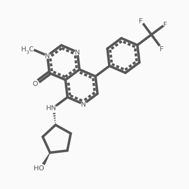 Cn1cnc2c(-c3ccc(C(F)(F)F)cc3)cnc(N[C@@H]3CC[C@@H](O)C3)c2c1=O